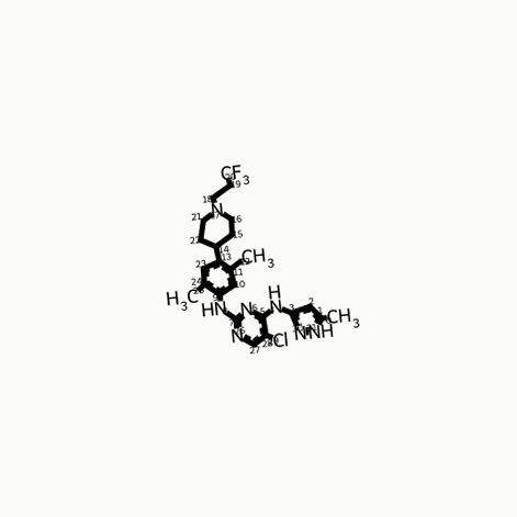 Cc1cc(Nc2nc(Nc3cc(C)c(C4CCN(CCC(F)(F)F)CC4)cc3C)ncc2Cl)n[nH]1